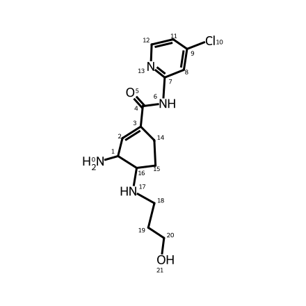 NC1C=C(C(=O)Nc2cc(Cl)ccn2)CCC1NCCCO